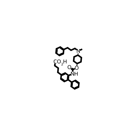 CN(CCCc1ccccc1)[C@H]1CC[C@H](OC(=O)Nc2cc(CCCC(=O)O)ccc2-c2ccccc2)CC1